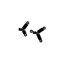 [O]=[Mn](=[O])=[O].[O]=[Mn]=[O]